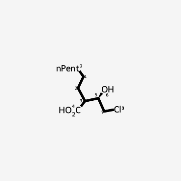 CCCCCCCC(C(=O)O)[C@@H](O)CCl